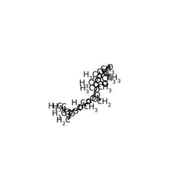 C=CC(=O)OC(COc1ccc(C(C)(C)c2ccc(OCC(COC(C)(CC)CCC)OC(=O)C=C)cc2)cc1)COc1c(C)c(C)c2c(c1C)C(c1ccccc1)c1c(C)c(C(CC)(CCC)OCC3CO3)c(C)c(C)c1O2